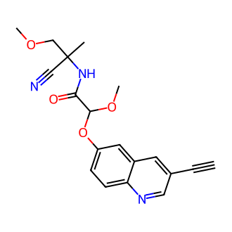 C#Cc1cnc2ccc(OC(OC)C(=O)NC(C)(C#N)COC)cc2c1